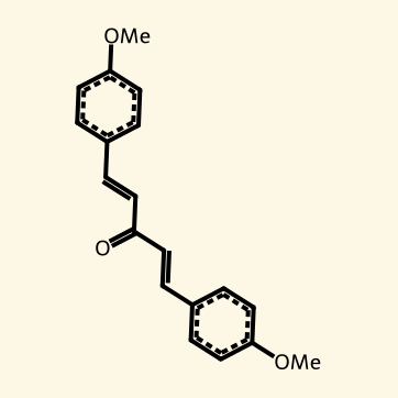 COc1ccc(C=CC(=O)C=Cc2ccc(OC)cc2)cc1